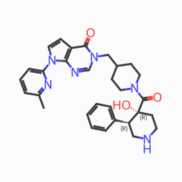 Cc1cccc(-n2ccc3c(=O)n(CC4CCN(C(=O)[C@@]5(O)CCNC[C@H]5c5ccccc5)CC4)cnc32)n1